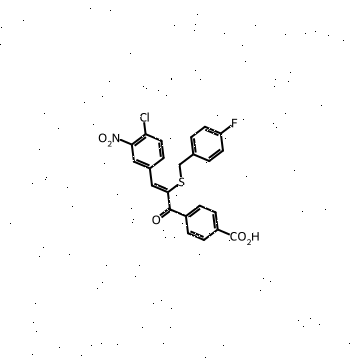 O=C(O)c1ccc(C(=O)C(=Cc2ccc(Cl)c([N+](=O)[O-])c2)SCc2ccc(F)cc2)cc1